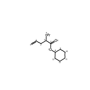 C=CCC(CCC)C(=O)OC1CCCCC1